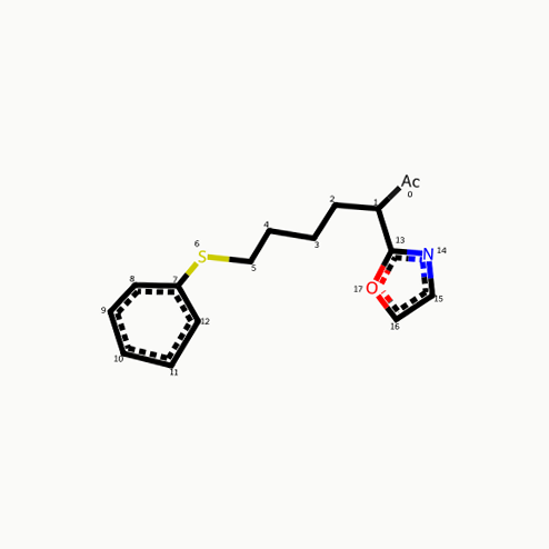 CC(=O)C(CCCCSc1ccccc1)c1ncco1